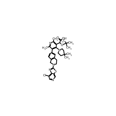 Cc1nc(C)c(C(OC(C)(C)C)C(=O)O)c(N2CCC(C)(C)CC2)c1-c1ccc2c(c1)CCN(c1nc3c(Cl)cncc3s1)C2